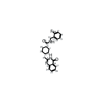 O=c1[nH]c(C[C@H]2CC[C@@H](C(=O)NCc3ccccc3F)CC2)nc2ccccc12